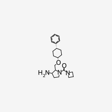 NC1CCN(C(=O)N2CCC2)C1CO[C@H]1CC[C@@H](c2ccccc2)CC1